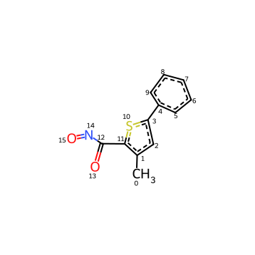 Cc1cc(-c2ccccc2)sc1C(=O)N=O